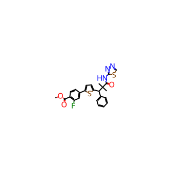 COC(=O)c1ccc(-c2ccc(C(c3ccccc3)C(C)(C)C(=O)Nc3nncs3)s2)cc1F